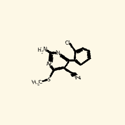 CSc1nc(N)nc(-c2ccccc2Cl)c1C#N